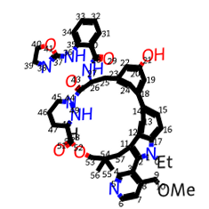 CCn1c(-c2cnccc2COC)c2c3cc(ccc31)-c1cc(O)cc(c1)C[C@H](NC(=O)c1ccccc1NC1=NCCO1)C(=O)N1CCC[C@H](N1)C(=O)OCC(C)(C)C2